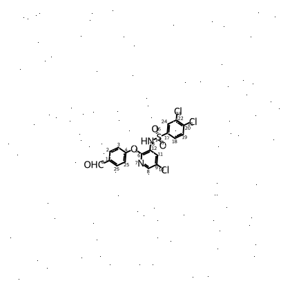 O=Cc1ccc(Oc2ncc(Cl)cc2NS(=O)(=O)c2ccc(Cl)c(Cl)c2)cc1